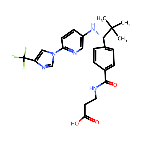 CC(C)(C)[C@@H](Nc1ccc(-n2cnc(C(F)(F)F)c2)nc1)c1ccc(C(=O)NCCC(=O)O)cc1